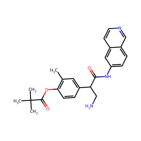 Cc1cc(C(CN)C(=O)Nc2ccc3cnccc3c2)ccc1OC(=O)C(C)(C)C